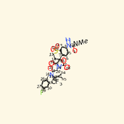 CNC(=O)Nc1ccc2c(c1)S(=O)(=O)CCC21OC(=O)N(CC(=O)N(Cc2ccc(F)cc2)[C@@H](C2CC2)C(F)(F)F)C1=O